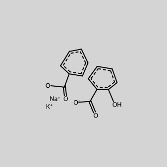 O=C([O-])c1ccccc1.O=C([O-])c1ccccc1O.[K+].[Na+]